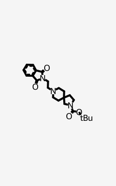 CC(C)(C)OC(=O)N1CCC2(CCN(CCN3C(=O)c4ccccc4C3=O)CC2)C1